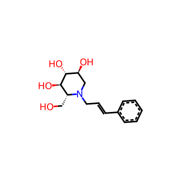 OC[C@@H]1[C@@H](O)[C@H](O)[C@@H](O)CN1C/C=C/c1ccccc1